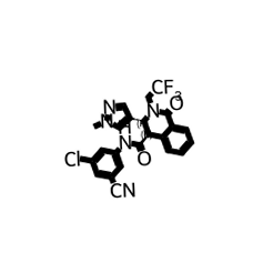 Cn1cc([C@H]2[C@H](C(=O)Nc3cc(Cl)cc(C#N)c3)c3ccccc3C(=O)N2CC(F)(F)F)cn1